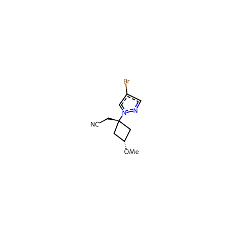 CO[C@H]1C[C@@](CC#N)(n2cc(Br)cn2)C1